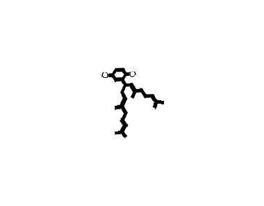 CC(C)=CCC/C(C)=C/CC(/C=C(\C)CCC=C(C)C)C1=CC(=O)C=CC1=O